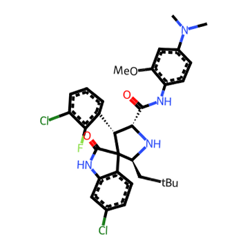 COc1cc(N(C)C)ccc1NC(=O)[C@@H]1N[C@@H](CC(C)(C)C)C2(C(=O)Nc3cc(Cl)ccc32)[C@@H]1c1cccc(Cl)c1F